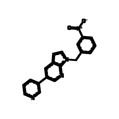 O=[N+]([O-])c1cccc(Cn2ccc3cc(-c4cccnc4)cnc32)c1